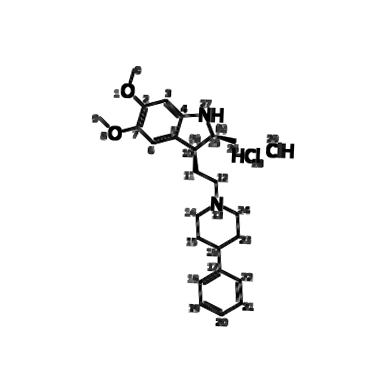 COc1cc2c(cc1OC)[C@H](CCN1CCC(c3ccccc3)CC1)[C@H](C)N2.Cl.Cl